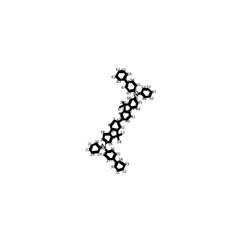 CC1(C)c2cc(-c3ccc4c(c3)C(C)(C)c3cc(N(c5ccccc5)c5ccc(-c6ccccc6)cc5)ccc3-4)ccc2-c2ccc(N(c3ccccc3)c3ccc(-c4ccccc4)cc3)cc21